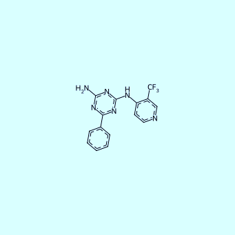 Nc1nc(Nc2ccncc2C(F)(F)F)nc(-c2ccccc2)n1